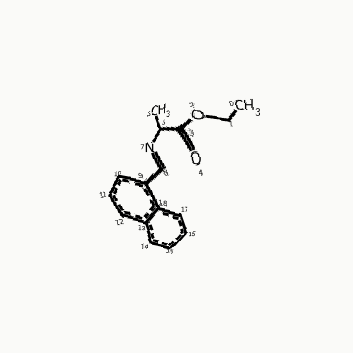 CCOC(=O)C(C)N=Cc1cccc2ccccc12